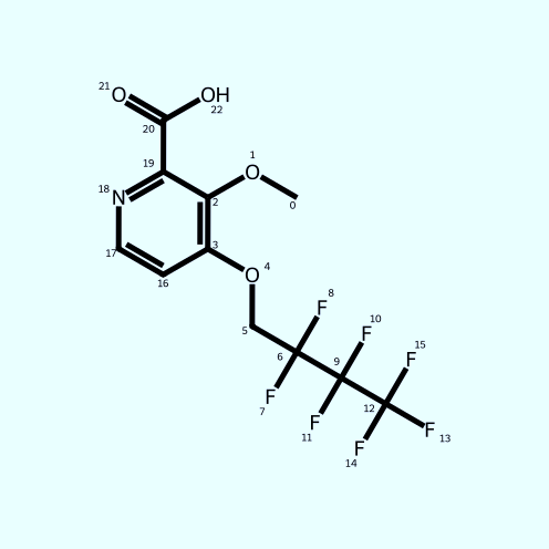 COc1c(OCC(F)(F)C(F)(F)C(F)(F)F)ccnc1C(=O)O